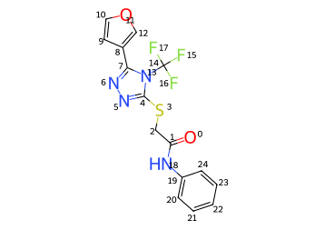 O=C(CSc1nnc(-c2ccoc2)n1C(F)(F)F)Nc1ccccc1